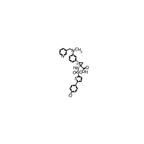 CN(Cc1cccnc1)c1cccc([C@H]2C[C@@]2(NS(=O)(=O)c2ccc(-c3ccc(Cl)cc3)s2)C(=O)O)c1